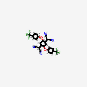 N#CC(C#N)=c1cc(Oc2ccc(C(F)(F)F)cc2)c(=C(C#N)C#N)cc1Oc1ccc(C(F)(F)F)cc1